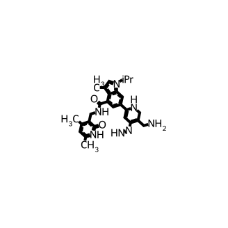 Cc1cc(C)c(CNC(=O)c2cc(C3=CC(N=N)=C(CN)CN3)cc3c2c(C)cn3C(C)C)c(=O)[nH]1